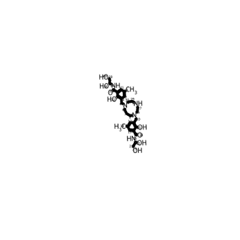 Cc1cc(CN2CCCN(Cc3cc(C)cc(C(=O)NC(O)CO)c3O)CCNCC2)c(O)c(C(=O)NC(O)CO)c1